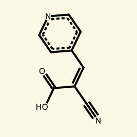 N#CC(=Cc1ccncc1)C(=O)O